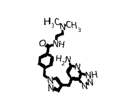 CN(C)CCNC(=O)c1ccc(Cn2cc(Cc3cc(N)nc4[nH]nnc34)cn2)cc1